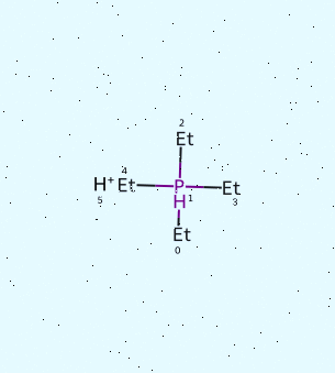 CC[PH](CC)(CC)CC.[H+]